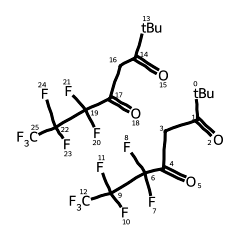 CC(C)(C)C(=O)CC(=O)C(F)(F)C(F)(F)C(F)(F)F.CC(C)(C)C(=O)CC(=O)C(F)(F)C(F)(F)C(F)(F)F